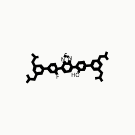 CC(C)Cc1cc(CC(C)C)cc(-c2ccc(-c3ccc(-c4ccc(-c5cc(CC(C)C)cc(CC(C)C)c5)cc4F)c4nsnc34)c(O)c2)c1